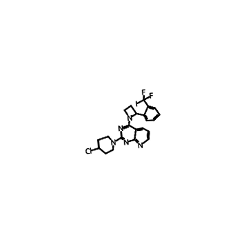 FC(F)(I)c1ccccc1C1CCN1c1nc(N2CCC(Cl)CC2)nc2ncccc12